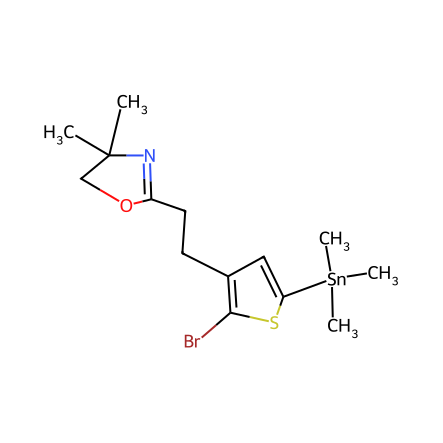 CC1(C)COC(CCc2c[c]([Sn]([CH3])([CH3])[CH3])sc2Br)=N1